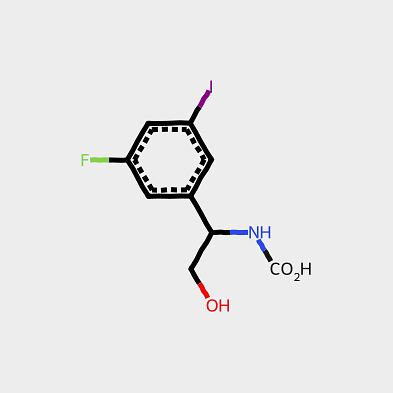 O=C(O)NC(CO)c1cc(F)cc(I)c1